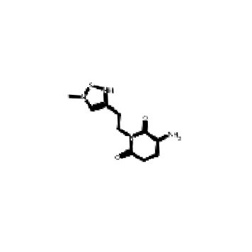 CN1C=C(CCN2C(=O)CCC(N)C2=O)NS1